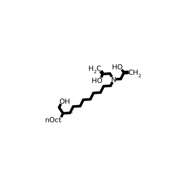 C=C(O)CN(CCCCCCCC[CH]C(CO)CCCCCCCC)CC(=C)O